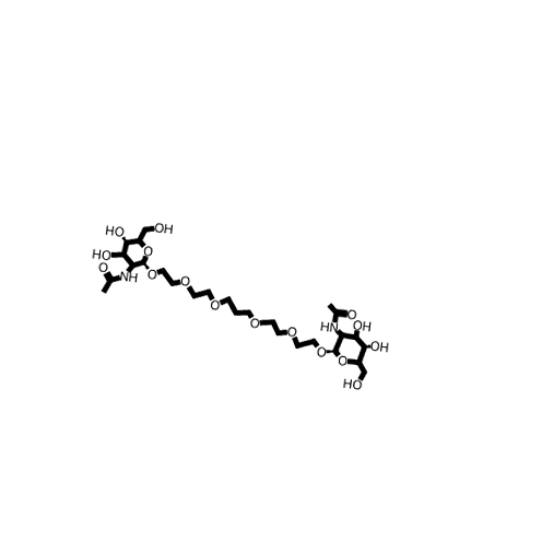 CC(=O)NC1C(O)[C@@H](O)C(CO)O[C@H]1OCCOCCOCCCOCCOCCO[C@@H]1OC(CO)[C@H](O)C(O)C1NC(C)=O